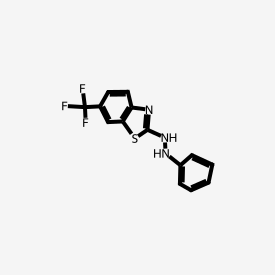 FC(F)(F)c1ccc2nc(NNc3ccccc3)sc2c1